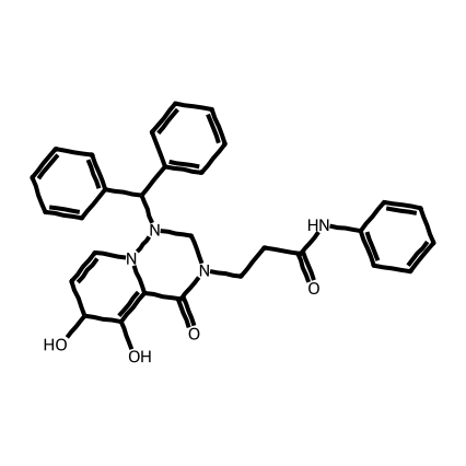 O=C(CCN1CN(C(c2ccccc2)c2ccccc2)N2C=CC(O)C(O)=C2C1=O)Nc1ccccc1